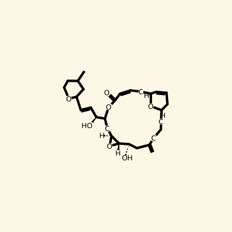 C=C1CCC[C@@H]2CC=C[C@@H](C/C=C\C(=O)OC([C@@H](O)/C=C/C3CC(C)CCO3)C[C@@H]3O[C@H]3[C@@H](O)C1)O2